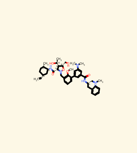 C=C[C@@H]1CC[C@H](C)[C@@H](NC(=O)[C@@H]2[C@H]([C@H](C)O)[C@H](CO)ON2Cc2cccc(-c3cc(C(=O)N[C@H](CNC)Cc4ccccc4)cc(N(C)C)c3)c2OC)C1